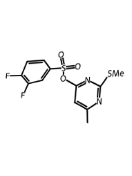 CSc1nc(C)cc(OS(=O)(=O)c2ccc(F)c(F)c2)n1